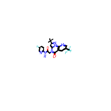 CC(C)(C)c1cc2n(CC(=O)Nc3ccc(F)cn3)c(=O)c3cc(C(F)(F)F)cnc3n2n1